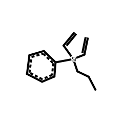 C=C[Si](C=C)(CCC)c1ccccc1